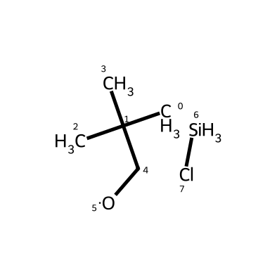 CC(C)(C)C[O].[SiH3]Cl